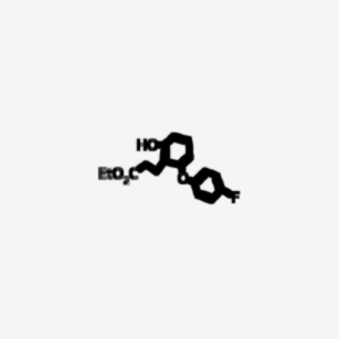 CCOC(=O)CCc1c(O)cccc1Oc1ccc(F)cc1